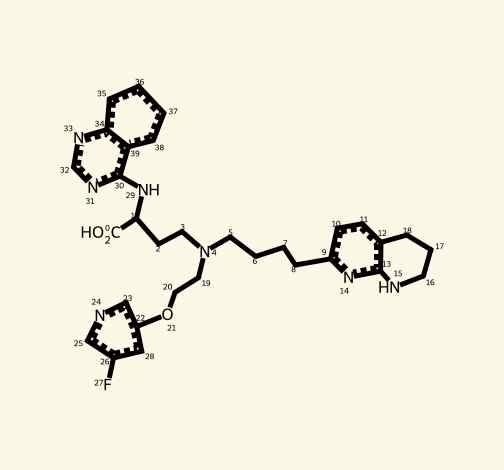 O=C(O)C(CCN(CCCCc1ccc2c(n1)NCCC2)CCOc1cncc(F)c1)Nc1ncnc2ccccc12